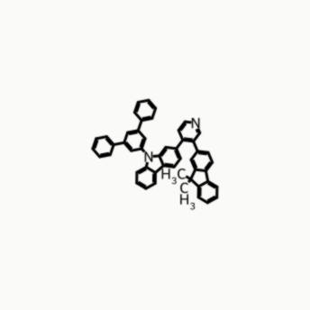 CC1(C)c2ccccc2-c2ccc(-c3cnccc3-c3ccc4c5ccccc5n(-c5cc(-c6ccccc6)cc(-c6ccccc6)c5)c4c3)cc21